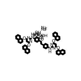 O=S(=O)(O)c1c(C=Cc2ccc(Nc3nc(Oc4cccc5ccccc45)cc(Oc4cccc5ccccc45)n3)cc2)ccc(Nc2nc(Oc3cccc4ccccc34)cc(Oc3cccc4ccccc34)n2)c1S(=O)(=O)O.[Na].[Na]